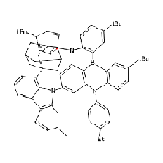 CCc1ccc(N2c3ccc(C(C)(C)C)cc3B3c4cc(C(C)(C)C)ccc4N(c4ccc(C(C)(C)C)cc4)c4cc(-n5c6c(c7cccc(C89CC%10CC(CC(C%10)C8)C9)c75)C=CC(C)C6)cc2c43)cc1